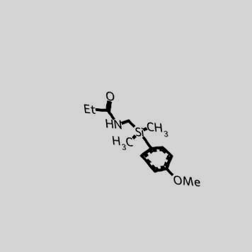 CCC(=O)NC[Si](C)(C)c1ccc(OC)cc1